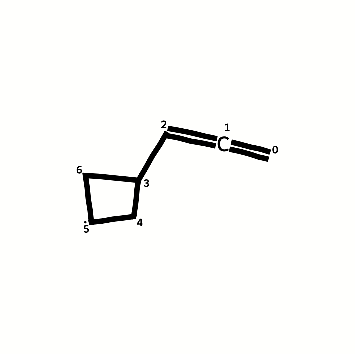 C=C=CC1C[CH]C1